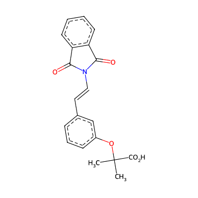 CC(C)(Oc1cccc(C=CN2C(=O)c3ccccc3C2=O)c1)C(=O)O